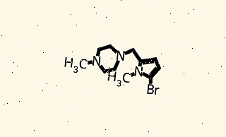 CN1CCN(Cc2ccc(Br)n2C)CC1